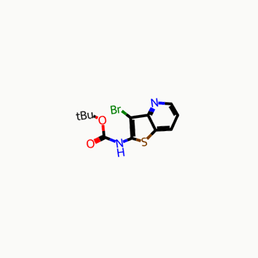 CC(C)(C)OC(=O)Nc1sc2cccnc2c1Br